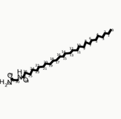 CCCCCCCCCCCCCCCCCCCCCCCCCCCC(=O)NCC(N)=O